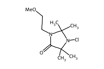 COCCN1C(=O)C(C)(C)N(Cl)C1(C)C